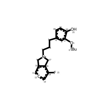 CC(C)(C)Oc1cc(CCCN2Cc3cccc(F)c3C2)ccc1O